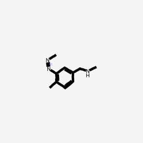 C/N=N\c1cc(CNC)ccc1C